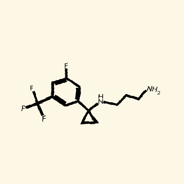 NCCCNC1(c2cc(F)cc(C(F)(F)F)c2)CC1